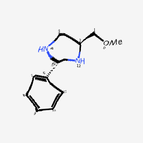 COC[C@@H]1CN[C@@H](c2ccccc2)N1